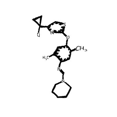 Cc1cc(Oc2nc(C3(Cl)CC3)cs2)c(C)cc1N=CN1CCCCC1